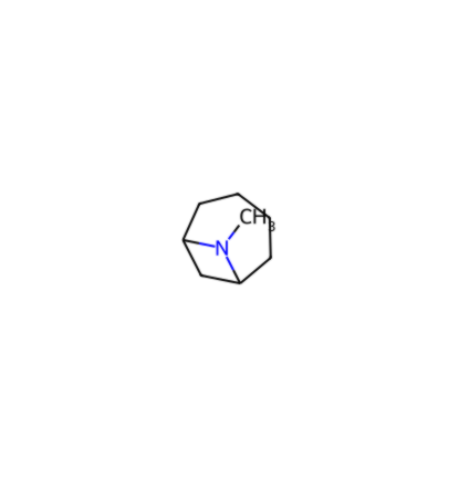 CN1C2CCCCC1C2